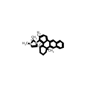 Cc1ccc2c(c1N1C=CN(C)[C@@H]1C)C1(C)CCCCC1(C)c1cc3ccccc3cc1-2